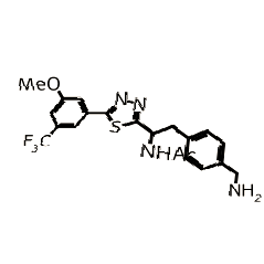 COc1cc(-c2nnc(C(Cc3ccc(CN)cc3)NC(C)=O)s2)cc(C(F)(F)F)c1